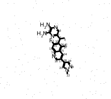 CC(c1cnc(N)c(N)n1)c1c(F)cc2ncc(-c3cnn(C)c3)cc2c1F